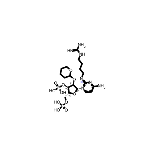 N=C(N)NCCCC/N=c1\nc(N)ccn1[C@@H]1O[C@H](COP(=O)(O)O)[C@@H](OP(=O)(O)O)[C@H]1OC1CCCCO1